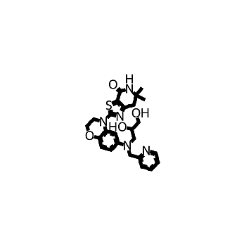 CC1(C)Cc2nc(N3CCOc4ccc(N(Cc5ccccn5)CC(O)CO)cc43)sc2C(=O)N1